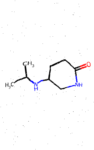 CC(C)NC1CCC(=O)NC1